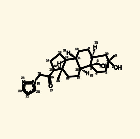 C[C@@]1(O)CC[C@@]2(CO)[C@@H](CC[C@H]3[C@@H]4CC[C@H](C(=O)Cn5cccn5)[C@@]4(C)CC[C@@H]32)C1